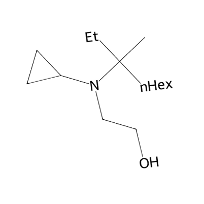 CCCCCCC(C)(CC)N(CCO)C1CC1